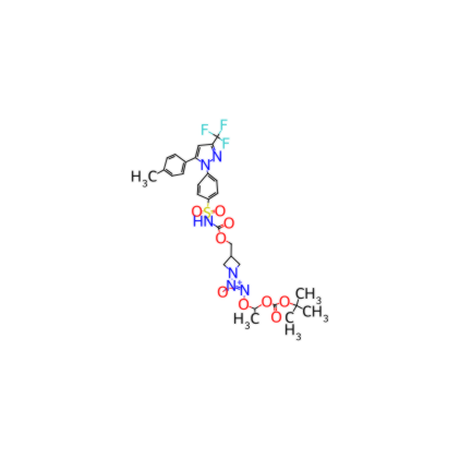 Cc1ccc(-c2cc(C(F)(F)F)nn2-c2ccc(S(=O)(=O)NC(=O)OCC3CN(/[N+]([O-])=N/OC(C)OC(=O)OC(C)(C)C)C3)cc2)cc1